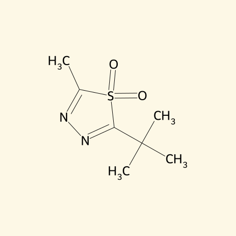 CC1=NN=C(C(C)(C)C)S1(=O)=O